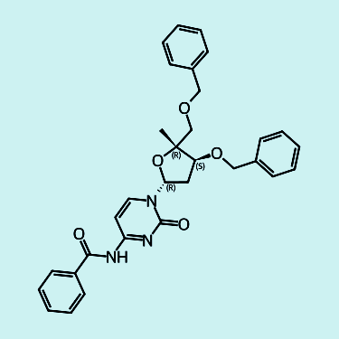 C[C@]1(COCc2ccccc2)O[C@@H](n2ccc(NC(=O)c3ccccc3)nc2=O)C[C@@H]1OCc1ccccc1